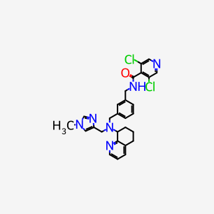 Cn1cnc(CN(Cc2cccc(CNC(=O)c3c(Cl)cncc3Cl)c2)C2CCCc3cccnc32)c1